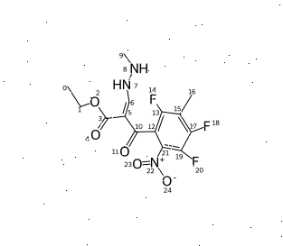 CCOC(=O)C(=CNNC)C(=O)c1c(F)c(C)c(F)c(F)c1[N+](=O)[O-]